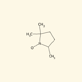 CC1CCC(C)(C)N1[O]